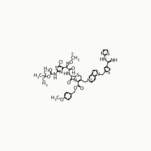 CO/N=C(\C(=O)N[C@@H]1C(=O)N2C(C(=O)OCc3ccc(OC)cc3)=C(C[n+]3ccc4c(ccn4Cc4cc(C(=N)Nc5nccs5)cs4)c3)CS[C@H]12)c1nc(NC(=O)OC(C)(C)C)sc1Cl.[I-]